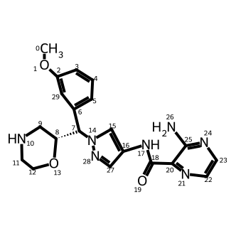 COc1cccc(C([C@H]2CNCCO2)n2cc(NC(=O)c3nccnc3N)cn2)c1